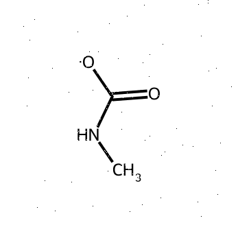 CNC([O])=O